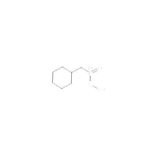 CO[PH](=O)CC1CCCCC1